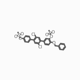 CS(=O)(=O)Oc1ccc(-c2cc(Cl)c(-c3ccc(OCc4ccccc4)c(OS(C)(=O)=O)c3)cc2Cl)cc1